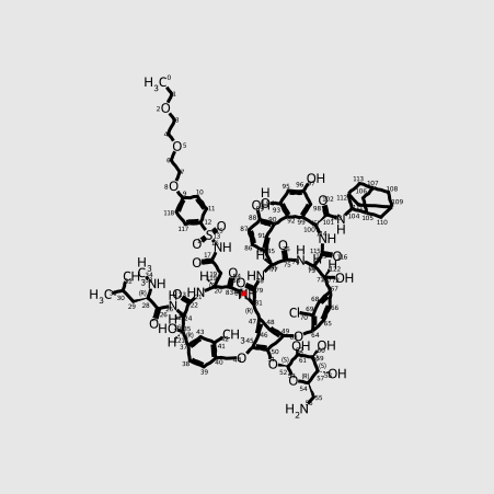 CCOCCOCCOc1ccc(S(=O)(=O)NC(=O)C[C@@H]2NC(=O)[C@H](NC(=O)[C@@H](CC(C)C)NC)[C@H](O)c3ccc(c(C)c3)Oc3cc4cc(c3O[C@@H]3O[C@H](CN)[C@@H](O)[C@H](O)[C@H]3O)Oc3ccc(cc3Cl)[C@@H](O)[C@@H]3NC(=O)[C@H](NC(=O)[C@@H]4NC2=O)c2ccc(O)c(c2)-c2c(O)cc(O)cc2[C@@H](C(=O)NC2C4CC5CC(C4)CC2C5)NC3=O)cc1